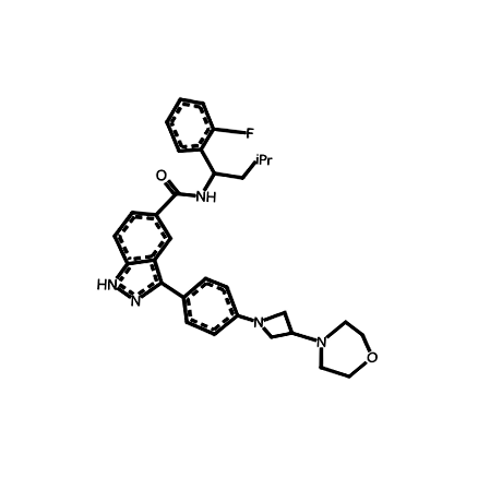 CC(C)CC(NC(=O)c1ccc2[nH]nc(-c3ccc(N4CC(N5CCOCC5)C4)cc3)c2c1)c1ccccc1F